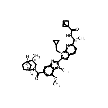 COc1cc(C(=O)N2C[C@H](N)[C@@H]3CC[C@H]2C3)cc2nc(-c3cc4ccc([C@@H](C)NC(=O)C56CC(C5)C6)nc4n3CC3CC3)n(C)c12